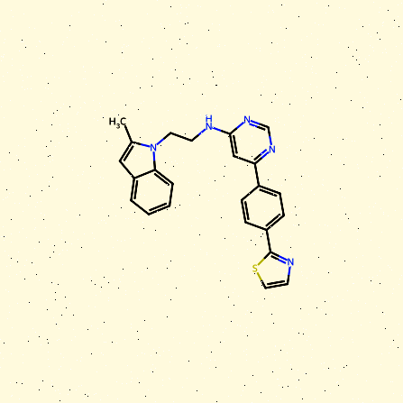 Cc1cc2ccccc2n1CCNc1cc(-c2ccc(-c3nccs3)cc2)ncn1